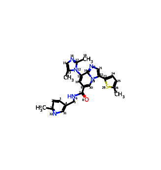 Cc1ccc(CNC(=O)c2cc(-n3c(C)cnc3C)c3ncc(-c4ccc(C)s4)n3c2)cn1